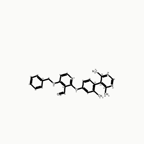 Cc1cc(Oc2nccc(OCc3ccccc3)c2C=O)ccc1-c1c(C)ncnc1C